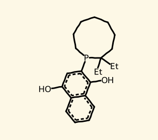 CCC1(CC)CCCCCCCP1c1cc(O)c2ccccc2c1O